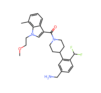 COCCn1cc(C(=O)N2CCC(c3cc(CN)ccc3C(F)F)CC2)c2cccc(C)c21